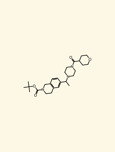 CC(c1ccc2c(c1)CCN(C(=O)OC(C)(C)C)C2)N1CCN(C(=O)C2CCOCC2)CC1